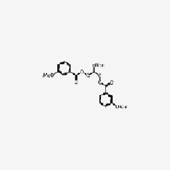 [CH2]CCCCCCCC[C](OOC(=O)c1cccc(OC)c1)OOC(=O)c1cccc(OC)c1